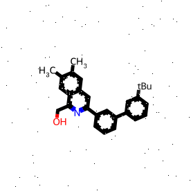 Cc1cc2cc(-c3cccc(-c4cccc(C(C)(C)C)c4)c3)nc(CO)c2cc1C